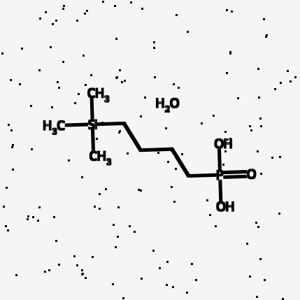 C[Si](C)(C)CCCCP(=O)(O)O.O